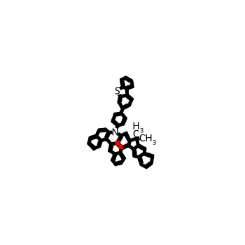 CC1(C)c2cc(N(c3ccc(-c4ccc5c(c4)sc4ccccc45)cc3)c3ccc4ccccc4c3-c3ccc4ccccc4c3)ccc2-c2cc3ccccc3cc21